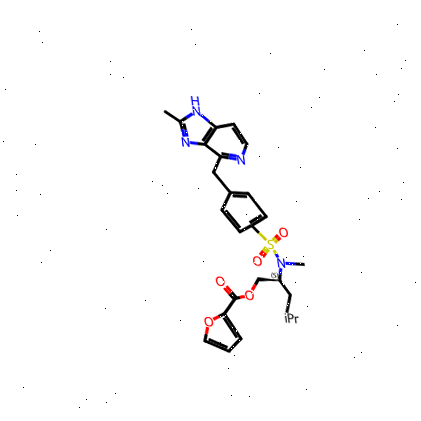 Cc1nc2c(Cc3ccc(S(=O)(=O)N(C)[C@H](COC(=O)c4ccco4)CC(C)C)cc3)nccc2[nH]1